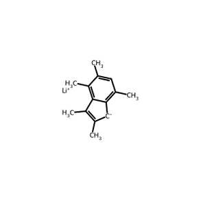 Cc1cc(C)c2[cH-]c(C)c(C)c2c1C.[Li+]